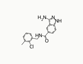 Cc1cccc(CNC(=O)c2ccc3[nH]nc(N)c3c2)c1Cl